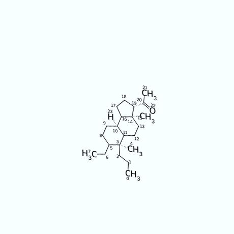 CCC[C@@]1(C)C(CC)CC[C@@H]2C1CC[C@@]1(C)C2CC[C@@H]1C(C)=O